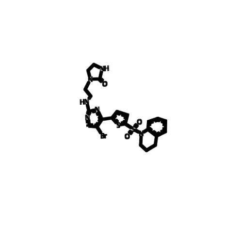 O=C1NCCN1CCNc1ncc(Br)c(-c2ccc(S(=O)(=O)N3CCCc4ccccc43)s2)n1